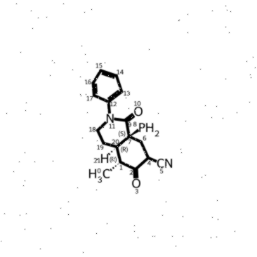 C[C@H]1C(=O)C(C#N)C[C@@]2(P)C(=O)N(c3ccccc3)CC[C@H]12